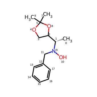 C[C@@H](C1COC(C)(C)O1)N(O)Cc1ccccc1